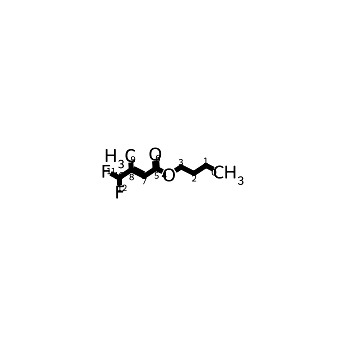 CCCCOC(=O)/C=C(\C)C(F)F